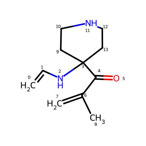 C=CNC1(C(=O)C(=C)C)CCNCC1